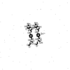 CN1c2c(nc(N)[nH]c2=O)NCC1CNc1ccc(C(=O)N[C@@H](CCC(=O)[O-])C(=O)O)cc1.CN1c2c(nc(N)[nH]c2=O)NCC1CNc1ccc(C(=O)N[C@@H](CCC(=O)[O-])C(=O)O)cc1.[Zn+2]